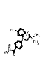 CC(CN(c1ccc(C(=O)N(C(C)C)C(C)C)cc1)c1cccc(O)c1)N(C)C